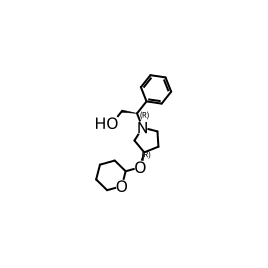 OC[C@@H](c1ccccc1)N1CC[C@@H](OC2CCCCO2)C1